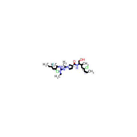 C=C/N=C(\N=C(/C)N1C=C[C@H](C(=O)NC(CO)C(=C)C[C@@H](Cl)/C=C\C)C1)NC(=C)/C(Cl)=C\[C@H](F)CC